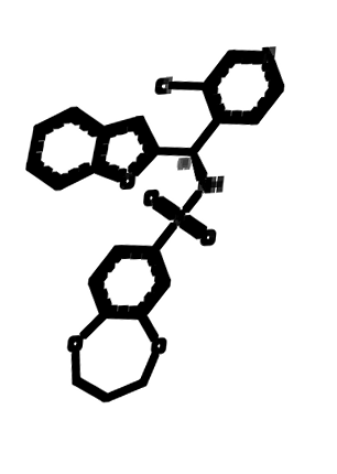 O=S(=O)(N[C@@H](c1cc2ccccc2o1)c1ccncc1Cl)c1ccc2c(c1)OCCCO2